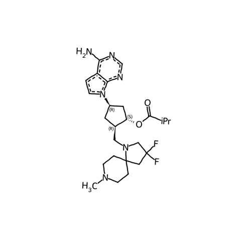 CC(C)C(=O)O[C@H]1C[C@H](n2ccc3c(N)ncnc32)C[C@@H]1CN1CC(F)(F)CC12CCN(C)CC2